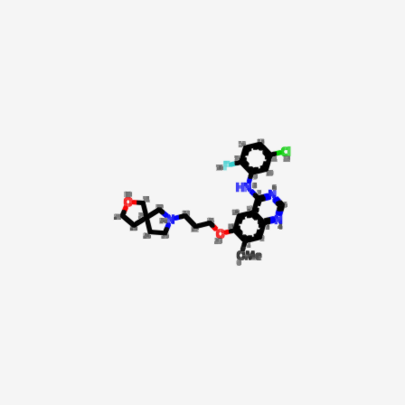 COc1cc2ncnc(Nc3cc(Cl)ccc3F)c2cc1OCCCN1CCC2(CCOC2)C1